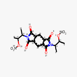 CC(O[N+](=O)[O-])C(C)n1c(=O)c2cc3c(=O)n(C(C)C(C)O[N+](=O)[O-])c(=O)c3cc2c1=O